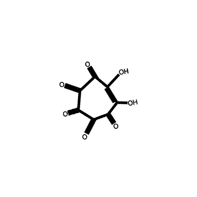 O=c1c(O)c(O)c(=O)c(=O)c(=O)c1=O